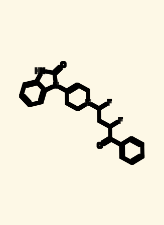 O=C(c1ccccc1)C(F)CC(F)N1CC=C(n2c(=O)[nH]c3ccccc32)CC1